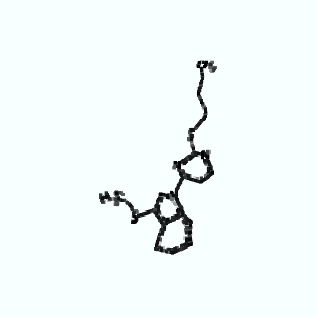 CCCCSc1nccc(-n2cc(SC)c3ccccc32)n1